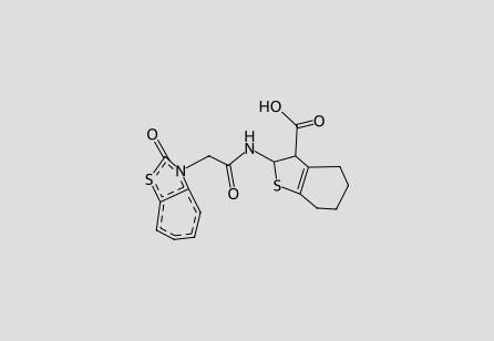 O=C(Cn1c(=O)sc2ccccc21)NC1SC2=C(CCCC2)C1C(=O)O